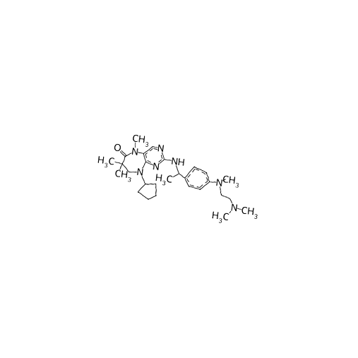 CC(Nc1ncc2c(n1)N(C1CCCC1)CC(C)(C)C(=O)N2C)c1ccc(N(C)CCN(C)C)cc1